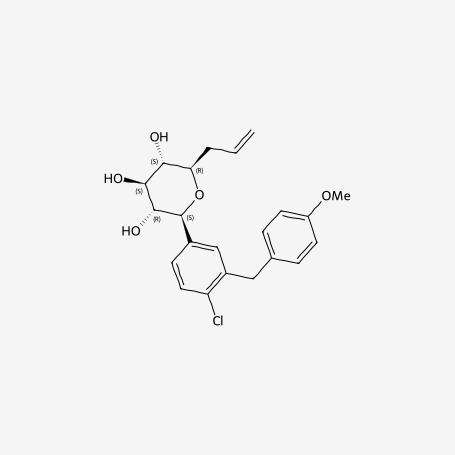 C=CC[C@H]1O[C@@H](c2ccc(Cl)c(Cc3ccc(OC)cc3)c2)[C@H](O)[C@@H](O)[C@@H]1O